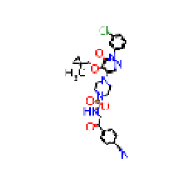 CC1(COc2c(N3CCN(S(=O)(=O)NCC(=O)c4ccc(C#N)cc4)CC3)cnn(-c3cccc(Cl)c3)c2=O)CC1